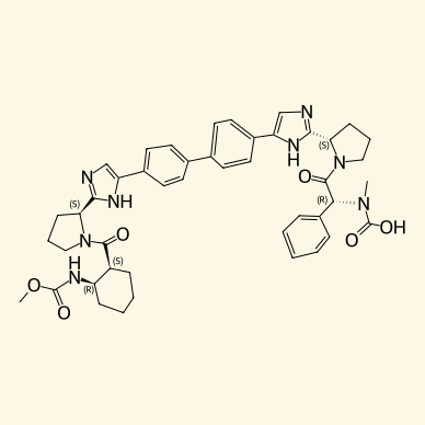 COC(=O)N[C@@H]1CCCC[C@@H]1C(=O)N1CCC[C@H]1c1ncc(-c2ccc(-c3ccc(-c4cnc([C@@H]5CCCN5C(=O)[C@@H](c5ccccc5)N(C)C(=O)O)[nH]4)cc3)cc2)[nH]1